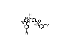 CSc1cnc(Nc2ccc(C(=O)Nc3cccc(CN(C)C)c3)cc2)nc1-c1ccc(C#N)cc1